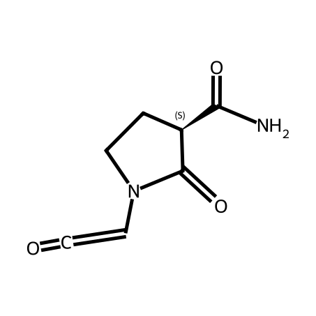 NC(=O)[C@@H]1CCN(C=C=O)C1=O